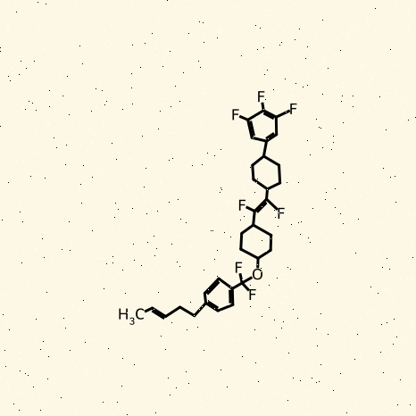 C/C=C/CCc1ccc(C(F)(F)OC2CCC(/C(F)=C(\F)C3CCC(c4cc(F)c(F)c(F)c4)CC3)CC2)cc1